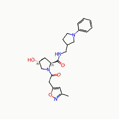 Cc1cc(CC(=O)N2C[C@H](O)C[C@H]2C(=O)NCC2CCN(c3ccccc3)C2)on1